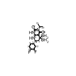 BC1(B)C[C@H](c2ccc(F)c(F)c2)Nc2[nH]c(=O)n(C(C)C)c(=O)c21